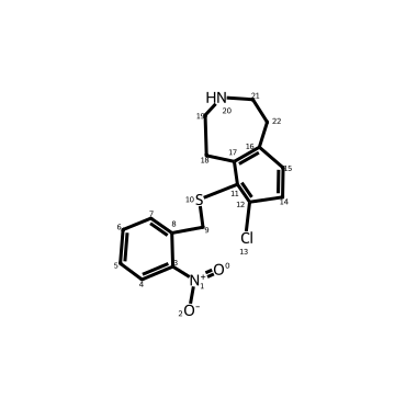 O=[N+]([O-])c1ccccc1CSc1c(Cl)ccc2c1CCNCC2